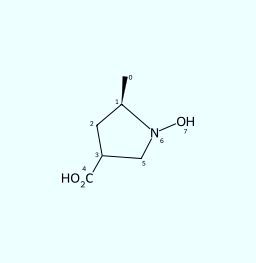 C[C@@H]1CC(C(=O)O)CN1O